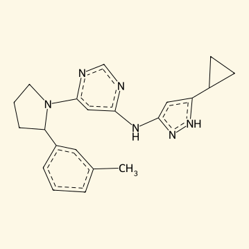 Cc1cccc(C2CCCN2c2cc(Nc3cc(C4CC4)[nH]n3)ncn2)c1